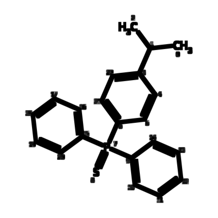 CC(C)c1ccc(P(=S)(c2ccccc2)c2ccccc2)cc1